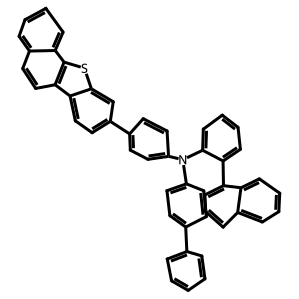 c1ccc(-c2ccc(N(c3ccc(-c4ccc5c(c4)sc4c6ccccc6ccc54)cc3)c3ccccc3-c3cccc4ccccc34)cc2)cc1